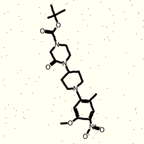 COc1cc(N2CCC(N3CCN(C(=O)OC(C)(C)C)CC3=O)CC2)c(C)cc1[N+](=O)[O-]